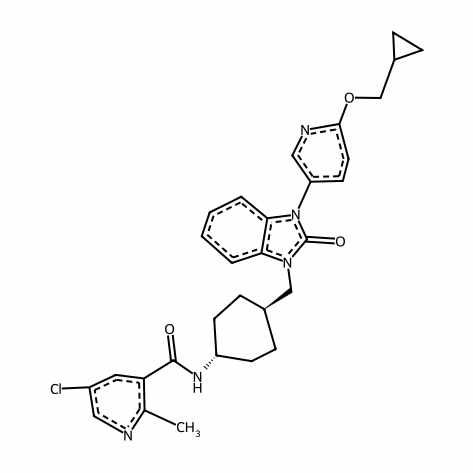 Cc1ncc(Cl)cc1C(=O)N[C@H]1CC[C@H](Cn2c(=O)n(-c3ccc(OCC4CC4)nc3)c3ccccc32)CC1